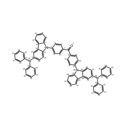 O=C(c1ccc(-n2c3ccccc3c3cc(N(c4ccccc4)c4ccccc4)ccc32)cc1)c1ccc(-n2c3ccccc3c3cc(N(c4ccccc4)c4ccccc4)ccc32)cc1